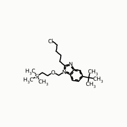 CC(C)(C)c1ccc2c(c1)nc(CCCCCl)n2COCC[Si](C)(C)C